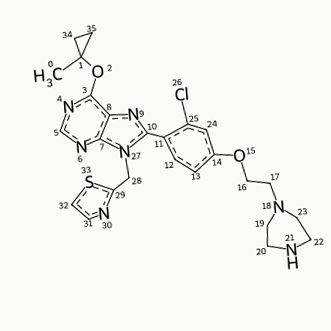 CC1(Oc2ncnc3c2nc(-c2ccc(OCCN4CCNCC4)cc2Cl)n3Cc2nccs2)CC1